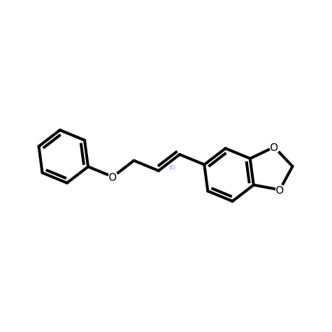 C(=C\c1ccc2c(c1)OCO2)/COc1ccccc1